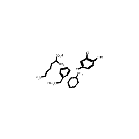 NC1CCCCC1.NCCCCC(N)C(=O)O.O=C(O)Cc1ccccc1.O=Cc1ccc(Cl)cc1Cl